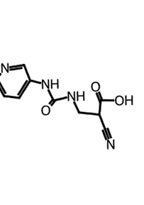 N#CC(CNC(=O)Nc1cccnc1)C(=O)O